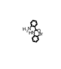 Nc1ccccc1C(=O)Nc1ccccc1Br